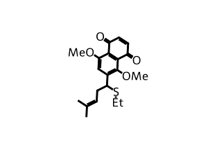 CCSC(CC=C(C)C)c1cc(OC)c2c(c1OC)C(=O)C=CC2=O